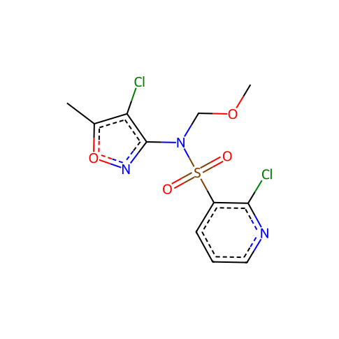 COCN(c1noc(C)c1Cl)S(=O)(=O)c1cccnc1Cl